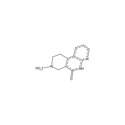 O=C(O)N1CCc2c(c(=O)[nH]c3ncccc23)C1